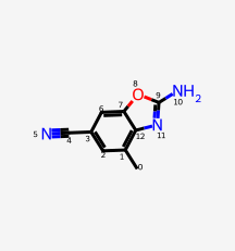 Cc1cc(C#N)cc2oc(N)nc12